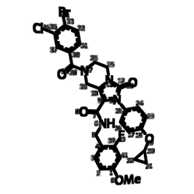 COc1ccc(CNC(=O)c2c3n(c(=O)n2-c2ccc(OC4CC4)cc2)CCN(C(=O)c2ccc(Br)c(Cl)c2)C3)c(F)c1